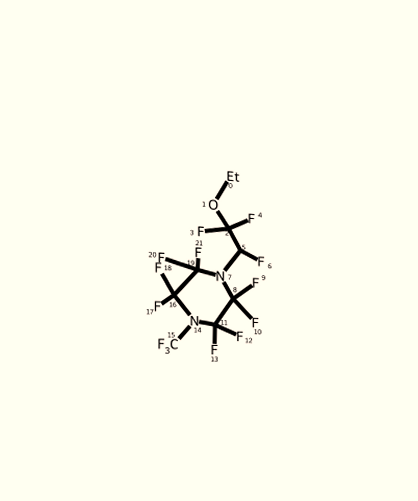 CCOC(F)(F)C(F)N1C(F)(F)C(F)(F)N(C(F)(F)F)C(F)(F)C1(F)F